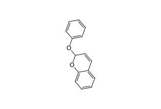 C1=CC(Oc2ccccc2)Oc2ccccc21